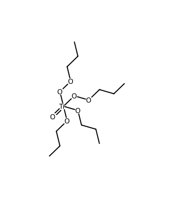 CCCO[O][Ti](=[O])([O]CCC)([O]CCC)[O]OCCC